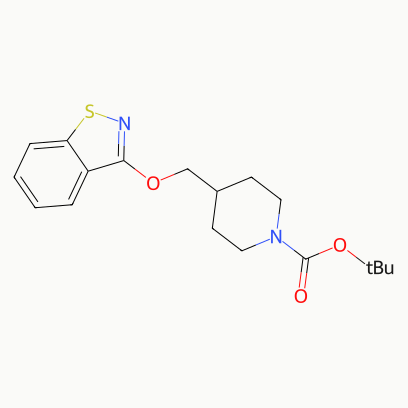 CC(C)(C)OC(=O)N1CCC(COc2nsc3ccccc23)CC1